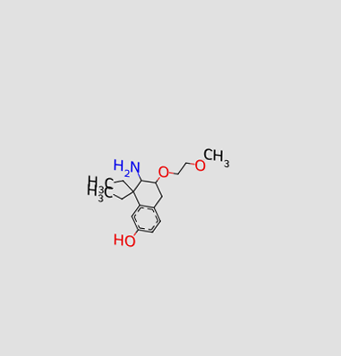 CCC1(CC)c2cc(O)ccc2CC(OCCOC)C1N